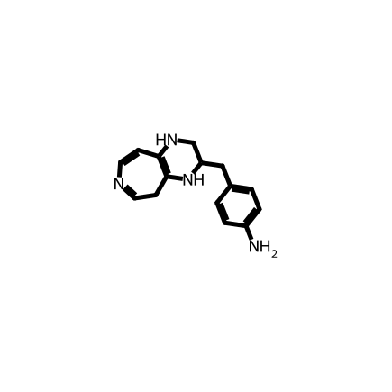 Nc1ccc(CC2CNC3=C(CC=NC=C3)N2)cc1